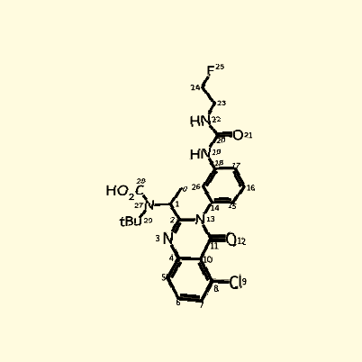 CC(c1nc2cccc(Cl)c2c(=O)n1-c1cccc(NC(=O)NCCF)c1)N(C(=O)O)C(C)(C)C